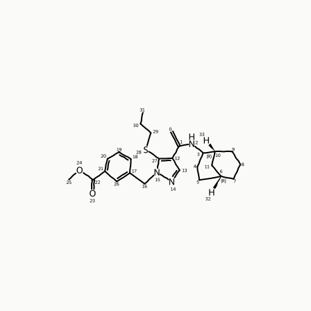 C=C(NC1CC[C@H]2CCC[C@@H]1C2)c1cnn(Cc2cccc(C(=O)OC)c2)c1SCCC